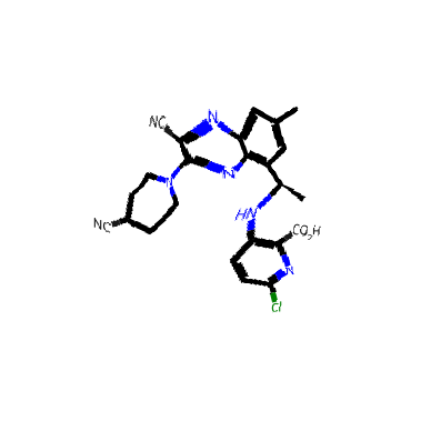 Cc1cc([C@@H](C)Nc2ccc(Cl)nc2C(=O)O)c2nc(N3CCC(C#N)CC3)c(C#N)nc2c1